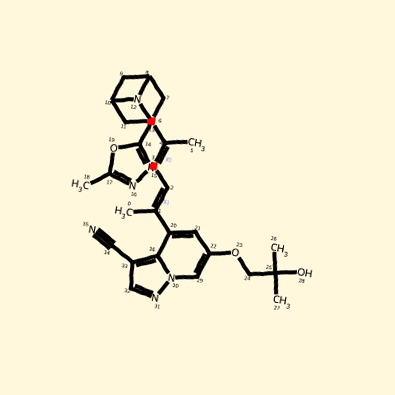 C/C(=C\N=C(/C)N1CC2CC(C1)N2Cc1nnc(C)o1)c1cc(OCC(C)(C)O)cn2ncc(C#N)c12